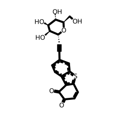 O=C1C=Cc2sc3cc(C#C[C@H]4O[C@H](CO)[C@@H](O)[C@H](O)[C@@H]4O)ccc3c2C1=O